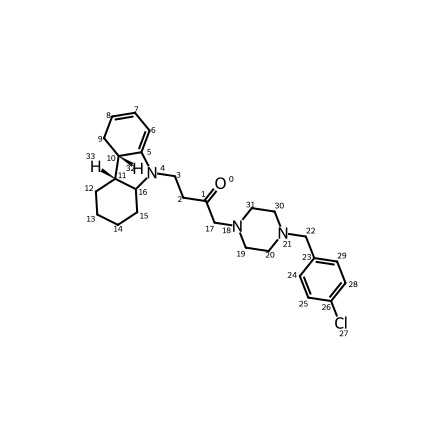 O=C(CCN1C2=CC=CC[C@H]2[C@H]2CCCCC21)CN1CCN(Cc2ccc(Cl)cc2)CC1